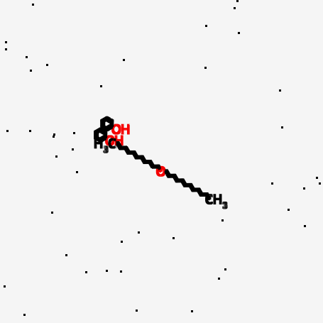 CCCCCCCCCCCCOCCCCCCCCCCCC.Oc1ccccc1.Oc1ccccc1